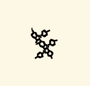 Cc1ccc(-n2c3cc(I)ccc3c3sc4cc5c(cc4c32)n(-c2ccc(C)cc2)c2c3ccc(C)cc3n(-c3ccc(C)cc3)c52)cc1